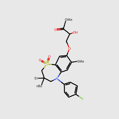 CCCCC1(CC)CN(c2ccc(F)cc2)c2cc(SC)c(OCC(O)C(=O)OC)cc2S(=O)(=O)C1